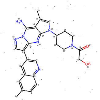 Cc1ccc2ncc(-c3cnn4c(N)c5c(C)cn(C6CCN(C(=O)CO)CC6)c5nc34)cc2c1